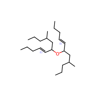 CCC/C=C/C(CC(C)CCC)OC(/C=C/CCC)CC(C)CCC